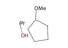 CC(C)O.COC1CCCC1